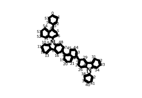 c1ccc(-c2ccc(-n3c4ccccc4c4cc(-c5cccc6c(-c7ccc8c(c7)c7ccccc7n8-c7ccccc7)cccc56)ccc43)c3ccccc23)cc1